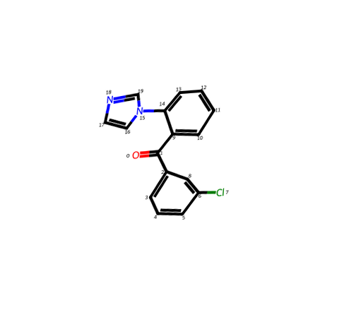 O=C(c1cccc(Cl)c1)c1ccccc1-n1ccnc1